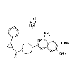 COc1cc2nc(N3CCN(C(=O)C4CC4c4ccccc4)CC3)nc(N)c2cc1OC.Cl.O.O